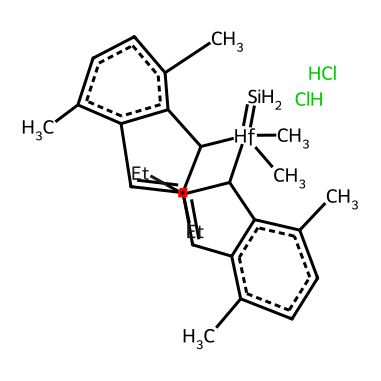 CCC1=Cc2c(C)ccc(C)c2[CH]1[Hf]([CH3])([CH3])(=[SiH2])[CH]1C(CC)=Cc2c(C)ccc(C)c21.Cl.Cl